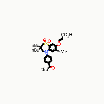 CCCCC1(CCCC)CN(c2ccc(C(=O)C(C)(C)C)cc2)c2cc(SC)c(O/C=C/C(=O)O)cc2S(=O)(=O)C1